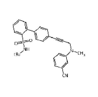 CN(CC#Cc1ccc(-c2ccccc2S(=O)(=O)NC(C)(C)C)cc1)c1cccc(C#N)c1